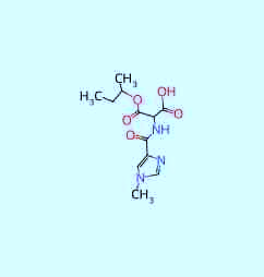 CCC(C)OC(=O)C(NC(=O)c1cn(C)cn1)C(=O)O